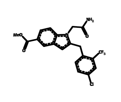 COC(=O)c1ccc2c(c1)cc(Cc1ccc(Cl)cc1C(F)(F)F)n2CC(N)=O